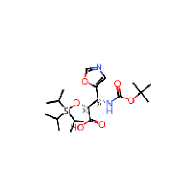 CC(C)[Si](O[C@@H](C(=O)O)[C@@H](NC(=O)OC(C)(C)C)c1cnco1)(C(C)C)C(C)C